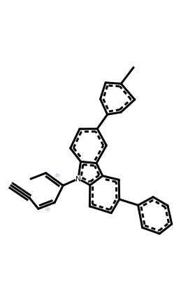 C#C/C=C\C(=C/C)n1c2ccc(-c3ccccc3)cc2c2cc(-c3ccc(C)cc3)ccc21